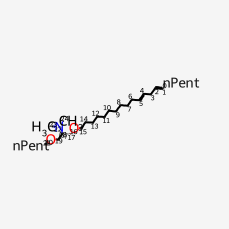 CCCCCC=CCC=CCCCCCCCCCCOC[C@H](COCCCCC)N(C)C